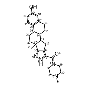 CN1CCN(C(=O)c2[nH]nc3c2CC2C4CCc5cc(O)ccc5C4CCC32C)CC1